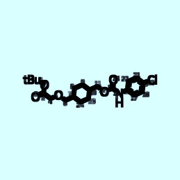 CC(C)(C)OC(=O)COCC1CCC(COC(=O)Nc2ccc(Cl)cc2)CC1